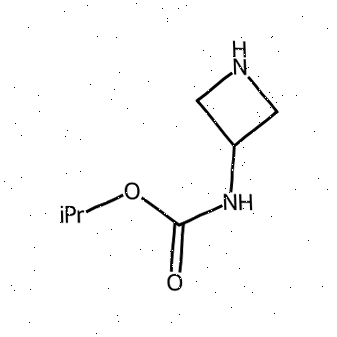 CC(C)OC(=O)NC1CNC1